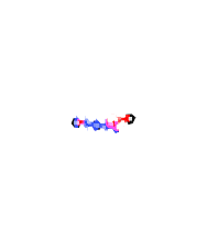 CCN(CCN1CCN(CCN2CCCCC2)CC1)C(=O)OCc1ccccc1